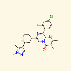 Cc1nc2c(-c3ccc(Cl)cc3F)nc([C@@H]3CCO[C@H](c4cnn(C)c4C)C3)cn2c(=O)c1C